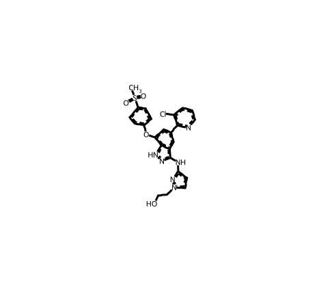 CS(=O)(=O)c1ccc(Oc2cc(-c3ncccc3Cl)cc3c(Nc4ccn(CCO)n4)n[nH]c23)cc1